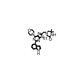 CCn1c(CN2CC(=O)NC(C)(C)C2)nc2c(N3CCOCC3)nc(-c3cccc4[nH]ccc34)nc21